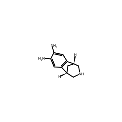 Nc1cc2c(cc1N)[C@H]1CNC[C@@H]2C1